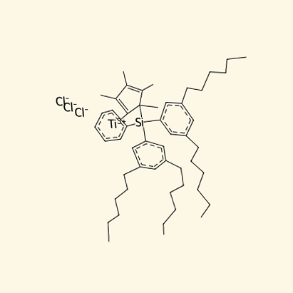 CCCCCCc1cc(CCCCCC)cc([Si](c2ccccc2)(c2cc(CCCCCC)cc(CCCCCC)c2)C2(C)C(C)=C(C)C(C)=[C]2[Ti+3])c1.[Cl-].[Cl-].[Cl-]